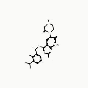 Cc1nc(N[C@H](C)c2cccc(C(F)F)c2F)c2cc(N3CCN(C)CC3=O)c(=O)n(C)c2n1